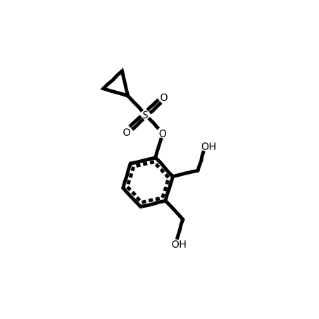 O=S(=O)(Oc1cccc(CO)c1CO)C1CC1